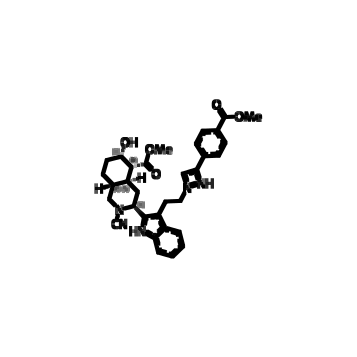 COC(=O)c1ccc(-c2cn(CCc3c([C@@H]4C[C@H]5[C@@H](CC[C@H](O)[C@@H]5C(=O)OC)CN4C#N)[nH]c4ccccc34)[nH]2)cc1